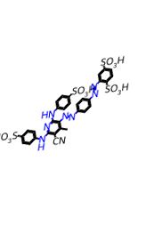 Cc1c(C#N)c(Nc2ccc(S(=O)(=O)O)cc2)nc(Nc2ccc(S(=O)(=O)O)cc2)c1/N=N/c1ccc(/N=N/c2cc(S(=O)(=O)O)ccc2S(=O)(=O)O)cc1